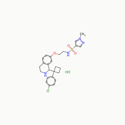 Cl.Cn1cc(S(=O)(=O)NCCOc2ccc3c(c2)C(C2(c4ccc(Cl)cc4)CCC2)NCC3)cn1